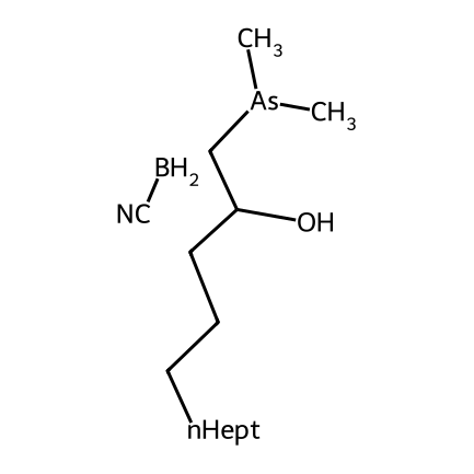 BC#N.CCCCCCCCCCC(O)C[As](C)C